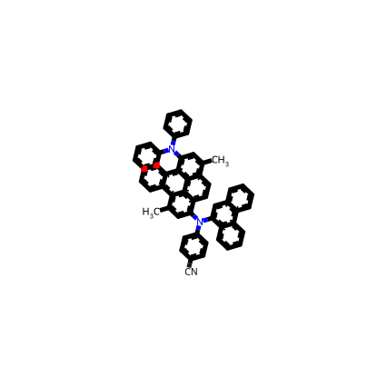 Cc1cc(N(c2ccccc2)c2ccccc2)c2c3ccccc3c3c(C)cc(N(c4ccc(C#N)cc4)c4cc5ccccc5c5ccccc45)c4ccc1c2c43